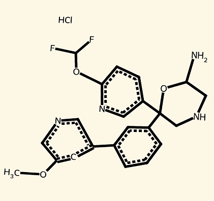 COc1cncc(-c2cccc(C3(c4ccc(OC(F)F)nc4)CNCC(N)O3)c2)c1.Cl